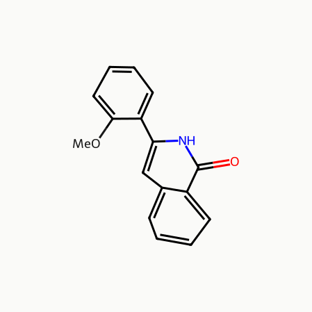 COc1ccccc1-c1cc2ccccc2c(=O)[nH]1